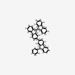 c1ccc(-n2c3ccccc3c3ccc(-c4ccc5c6ccccc6n(-n6c7ccccc7c7ccccc76)c5c4)cc32)cc1